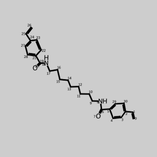 C=Cc1ccc(C(=O)NCCCCCCCCCNC(=O)c2ccc(C=C)cc2)cc1